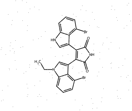 CCn1cc(C2=C(c3c[nH]c4cccc(Br)c34)C(=O)NC2=O)c2c(Br)cccc21